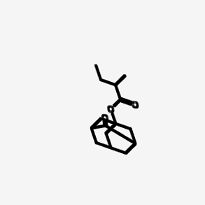 CCC(C)C(=O)OC12CC3CC(C1)C(=O)C(C3)C2